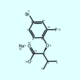 CC(C)[C@H](Oc1ccc(Br)cc1F)C(=O)[O-].[Na+]